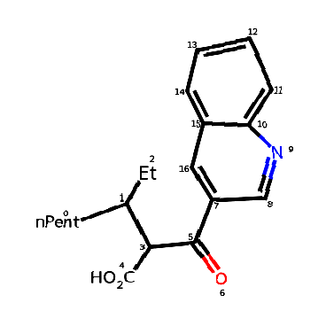 CCCCCC(CC)C(C(=O)O)C(=O)c1cnc2ccccc2c1